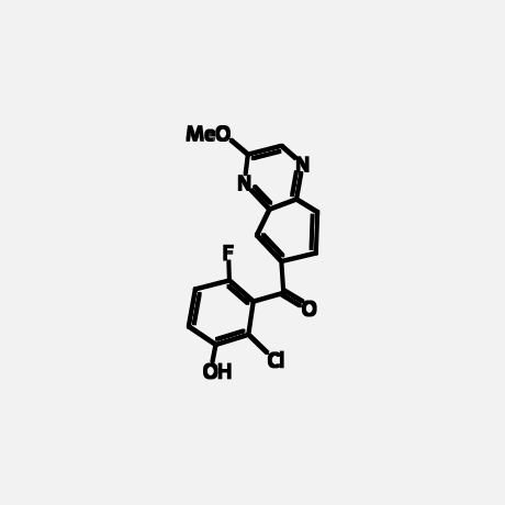 COc1cnc2ccc(C(=O)c3c(F)ccc(O)c3Cl)cc2n1